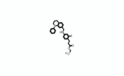 CCOC(=O)CCc1ccc(NCc2ccc3c(c2)N(c2ccccc2)CCC3)cc1F